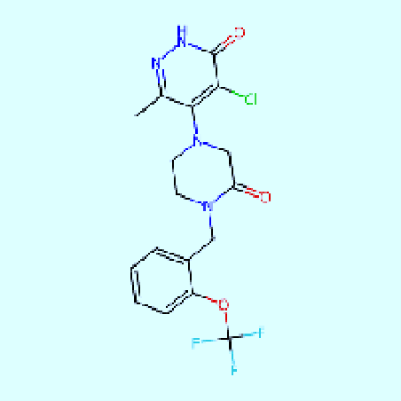 Cc1n[nH]c(=O)c(Cl)c1N1CCN(Cc2ccccc2OC(F)(F)F)C(=O)C1